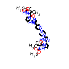 COC(=O)N[C@H](C(=O)N1CCC[C@H]1c1ncc(-c2ccc(N3CCN(c4cnc([C@@H]5CCCN5C(=O)[C@@H](NC(=O)OC)C(C)C)[nH]4)CC3)nc2)[nH]1)C(C)C